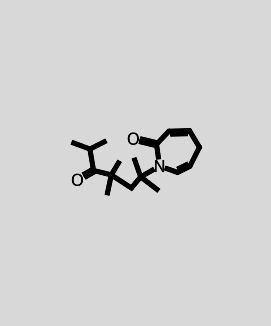 CC(C)C(=O)C(C)(C)CC(C)(C)N1C=CCC=CC1=O